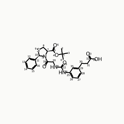 CC(C)(C)OC(=O)[C@@H]1CS[C@H](c2ccccc2)N1C(=O)CNC(=O)Nc1cccc(CCC(=O)O)c1